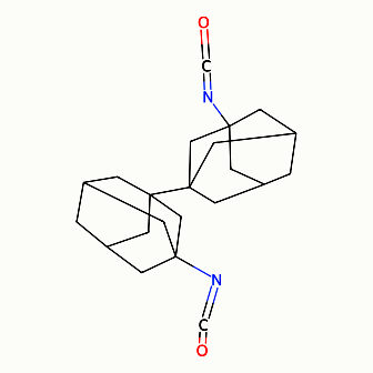 O=C=NC12CC3CC(C1)CC(C14CC5CC(CC(N=C=O)(C5)C1)C4)(C3)C2